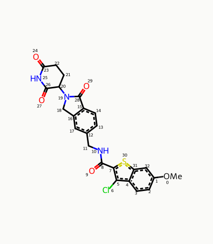 COc1ccc2c(Cl)c(C(=O)NCc3ccc4c(c3)CN(C3CCC(=O)NC3=O)C4=O)sc2c1